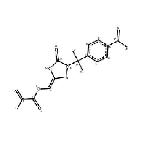 C=C(C)C(=O)O/C=C1/CN(C(C)(C)c2ccc(C(=C)C)cc2)C(=O)O1